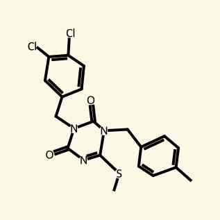 CSc1nc(=O)n(Cc2ccc(Cl)c(Cl)c2)c(=O)n1Cc1ccc(C)cc1